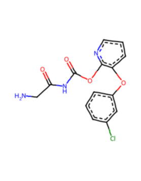 NCC(=O)NC(=O)Oc1ncccc1Oc1cccc(Cl)c1